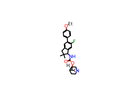 CCOc1ccc(-c2cc3c(cc2F)C(NC(=O)O[C@H]2CN4CCC2CC4)C(C)(C)C3)cc1